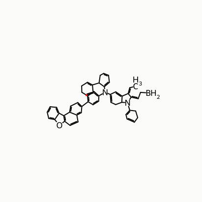 BC/C=C1\C(=C/C)C2=CC(N(C3=CC=CCC3C3=CCCC=C3)c3ccc(-c4ccc5c(ccc6oc7ccccc7c65)c4)cc3)=CCC2N1C1=CC=CCC1